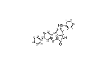 O=c1[nH]c2cc(Nc3ccccc3)ccc2n1Cc1cccc(-c2ccccc2)c1